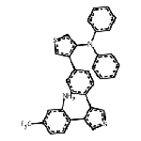 Nc1cc(C(F)(F)F)ccc1-c1cscc1-c1ccc(-c2cscc2N(c2ccccc2)c2ccccc2)cc1